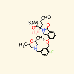 BC(CCC=O)(C(=O)NC)N1Cc2c(OCc3cc(CN4CC(C)OC(C)C4)ccc3F)cccc2C1=O